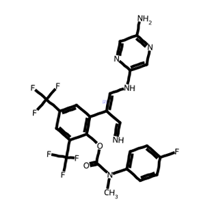 CN(C(=O)Oc1c(/C(C=N)=C/Nc2cnc(N)cn2)cc(C(F)(F)F)cc1C(F)(F)F)c1ccc(F)cc1